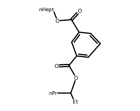 CCCCCCCOC(=O)c1cccc(C(=O)OC(CC)CCC)c1